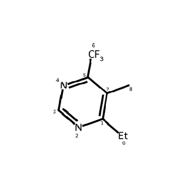 CCc1ncnc(C(F)(F)F)c1C